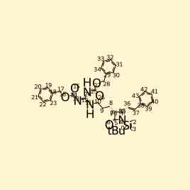 CC(C)(C)[Si](C)(C)N1C(=O)[C@H](CCCNC(=NC(=O)OCc2ccccc2)NC(=O)OCc2ccccc2)[C@@H]1C=Cc1ccccc1